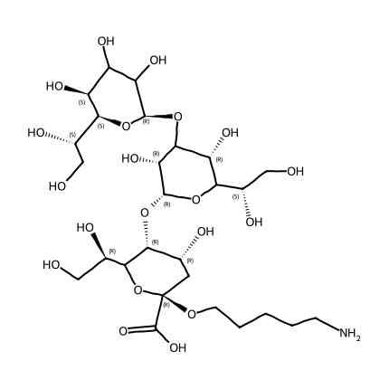 NCCCCCO[C@]1(C(=O)O)C[C@@H](O)[C@@H](O[C@H]2OC([C@@H](O)CO)[C@@H](O)C(O[C@H]3O[C@@H]([C@@H](O)CO)[C@@H](O)C(O)C3O)[C@H]2O)C([C@H](O)CO)O1